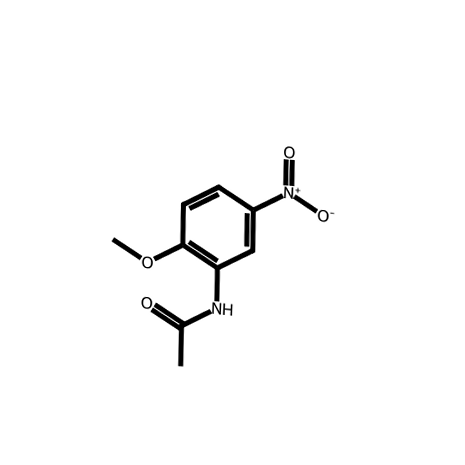 COc1ccc([N+](=O)[O-])cc1NC(C)=O